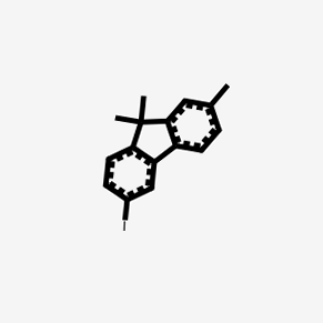 Cc1ccc2c(c1)C(C)(C)c1ccc(I)cc1-2